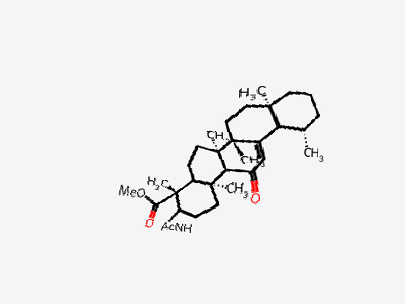 COC(=O)[C@@]1(C)C(NC(C)=O)CC[C@@]2(C)C1CC[C@]1(C)C2C(=O)C=C2C3[C@@H](C)CCC[C@]3(C)CC[C@]21C